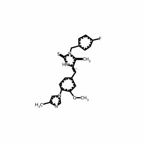 C=c1/c(=C/c2ccc(-n3cnc(C)c3)c(OC)c2)[nH]c(=S)n1Cc1ccc(F)cc1